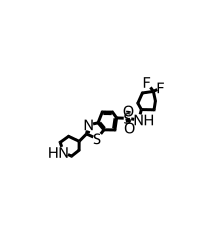 O=S(=O)(NC1CCC(F)(F)CC1)c1ccc2nc(C3CCNCC3)sc2c1